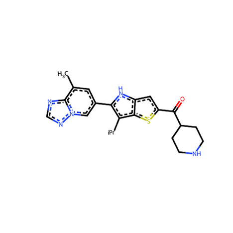 Cc1cc(-c2[nH]c3cc(C(=O)C4CCNCC4)sc3c2C(C)C)cn2ncnc12